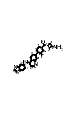 NC1CN(C(=O)c2ccc(-c3ccc4c(Nc5ccc6scnc6c5)ccnc4c3)c(F)c2)C1